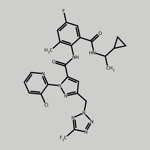 Cc1cc(F)cc(C(=O)NC(C)C2CC2)c1NC(=O)c1cc(Cn2nnc(C(F)(F)F)n2)nn1-c1ncccc1Cl